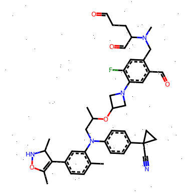 CC1=C(c2ccc(C)c(N(CC(C)OC3CN(c4cc(C=O)c(CN(C)C(C=O)CCC=O)cc4F)C3)c3ccc(C4(C#N)CC4)cc3)c2)C(C)NO1